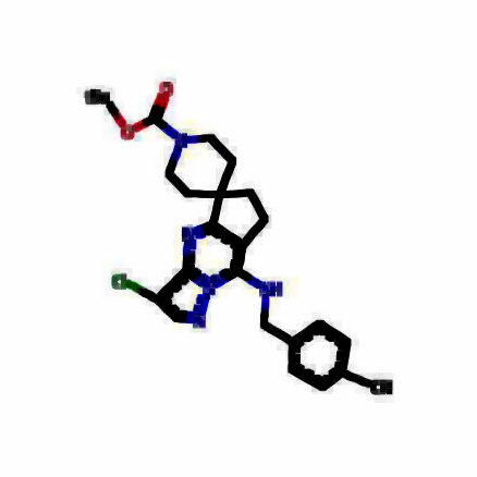 CC(C)(C)OC(=O)N1CCC2(CCc3c2nc2c(Cl)cnn2c3NCc2ccc(C#N)cc2)CC1